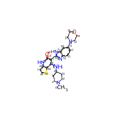 CN1CCC(Nc2c(-c3nc4ccc(N5CCOCC5)cc4[nH]3)c(=O)[nH]c3ccsc23)CC1